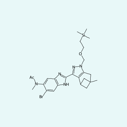 CC(=O)N(C)c1cc2nc(-c3nn(COCC[Si](C)(C)C)c4c3C3CC(C)(C4)C3)[nH]c2cc1Br